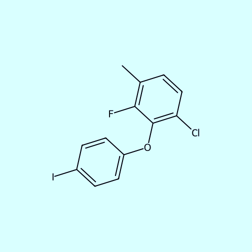 Cc1ccc(Cl)c(Oc2ccc(I)cc2)c1F